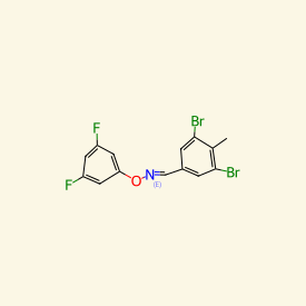 Cc1c(Br)cc(/C=N/Oc2cc(F)cc(F)c2)cc1Br